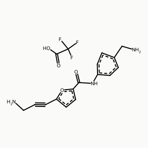 NCC#Cc1ccc(C(=O)Nc2ccc(CN)cc2)o1.O=C(O)C(F)(F)F